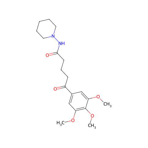 COc1cc(C(=O)CCCC(=O)NN2CCCCC2)cc(OC)c1OC